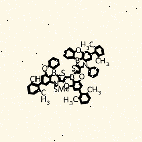 CSN1c2cc(-c3c(C)cccc3C)cc3c2B(c2ccccc2O3)c2sc3c(c21)Oc1cc(-c2c(C)cccc2C)cc2c1B3c1sc3c(c1O2)N(c1ccccc1)c1cc(-c2c(C)cccc2C)cc2c1B3c1ccccc1O2